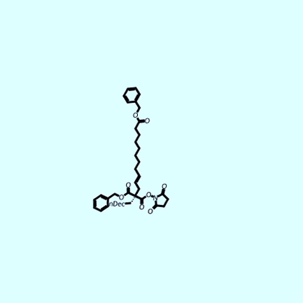 CCCCCCCCCCC[C@@](CC=CCCCCCCCC(=O)OCc1ccccc1)(C(=O)OCc1ccccc1)C(=O)ON1C(=O)CCC1=O